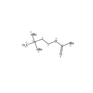 CCCC[N+](C)(CCCC)CCOC(=O)C(C)(C)C